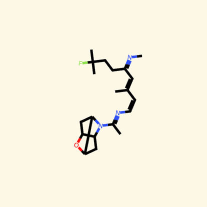 C\N=C(/C=C(C)/C=C\N=C(/C)N1C2CC3OC2CC31)CCC(C)(C)F